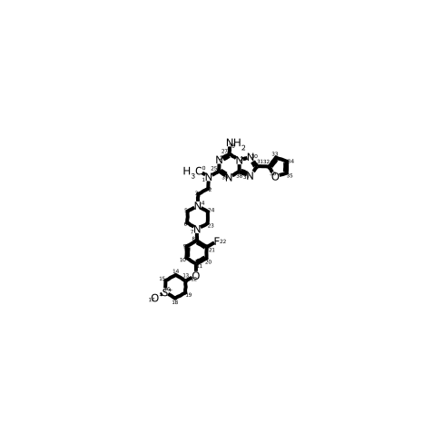 CN(CCN1CCN(c2ccc(OC3CC[S+]([O-])CC3)cc2F)CC1)c1nc(N)n2nc(-c3ccco3)nc2n1